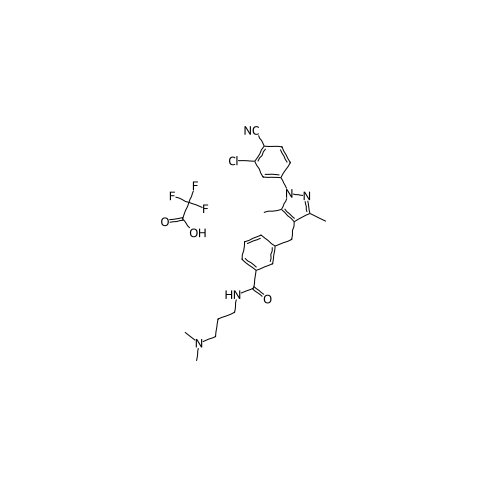 Cc1nn(-c2ccc(C#N)c(Cl)c2)c(C)c1Cc1cccc(C(=O)NCCCN(C)C)c1.O=C(O)C(F)(F)F